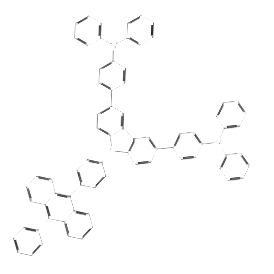 c1ccc(-c2c3ccccc3c(-c3ccc(-n4c5ccc(-c6ccc(N(c7ccccc7)c7ccccc7)cc6)cc5c5cc(-c6ccc(N(c7ccccc7)c7ccccc7)cc6)ccc54)cc3)c3ccccc23)cc1